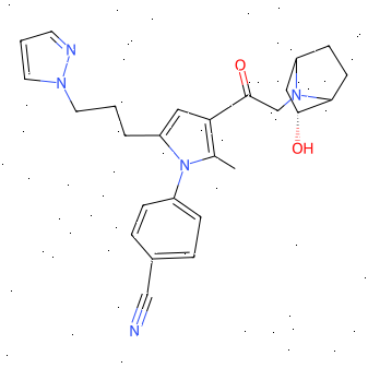 Cc1c(C(=O)CN2C3CCC2[C@H](O)C3)cc(CCCn2cccn2)n1-c1ccc(C#N)cc1